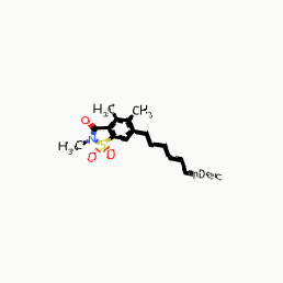 CCCCCCCCCCCCCCCCc1cc2c(c(C)c1C)C(=O)N(C)S2(=O)=O